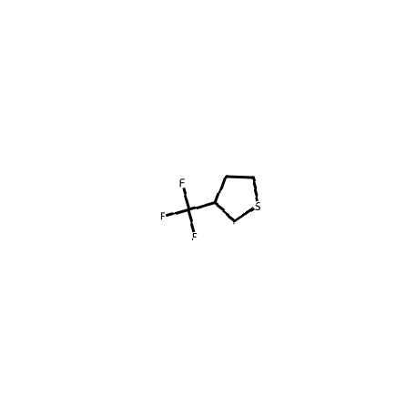 FC(F)(F)C1[CH]SCC1